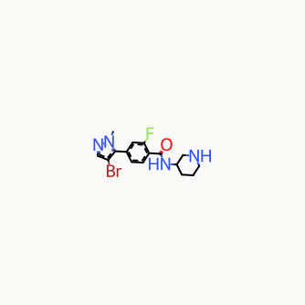 Cn1ncc(Br)c1-c1ccc(C(=O)NC2CCCNC2)c(F)c1